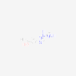 CC(O)c1ccc(-c2nccc(Nc3cc[nH]n3)n2)cc1